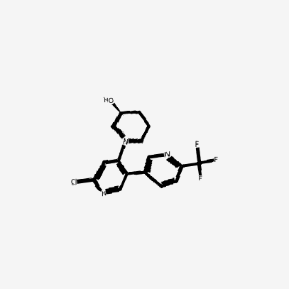 O[C@H]1CCCN(c2cc(Cl)ncc2-c2ccc(C(F)(F)F)nc2)C1